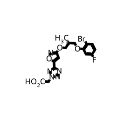 C[C@H](COc1cc(-c2nnn(CC(=O)O)n2)on1)COc1cc(F)ccc1Br